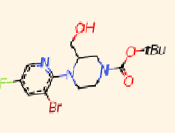 CC(C)(C)OC(=O)N1CCN(c2ncc(F)cc2Br)C(CO)C1